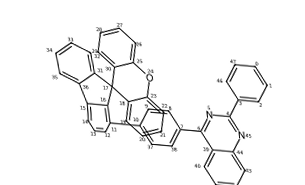 c1ccc(-c2nc(-c3ccc(-c4cccc5c4C4(c6ccccc6Oc6ccccc64)c4ccccc4-5)cc3)c3ccccc3n2)cc1